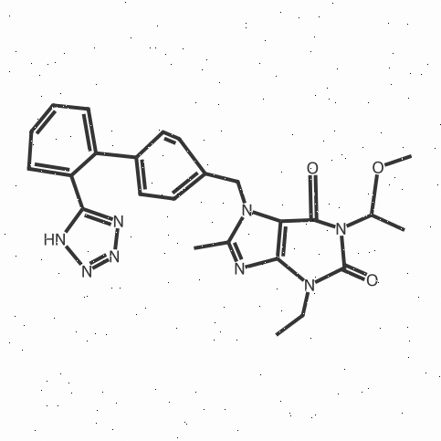 CCn1c(=O)n(C(C)OC)c(=O)c2c1nc(C)n2Cc1ccc(-c2ccccc2-c2nnn[nH]2)cc1